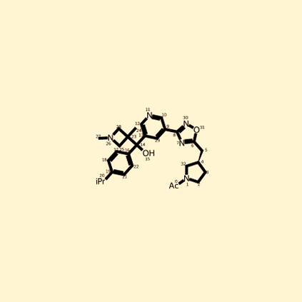 CC(=O)N1CC[C@H](Cc2nc(-c3cncc(C(O)(c4ccc(C(C)C)cc4)C4(C)CN(C)C4)c3)no2)C1